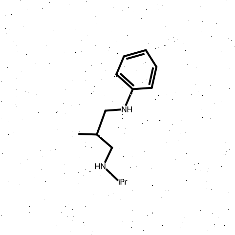 CC(CNc1ccccc1)CNC(C)C